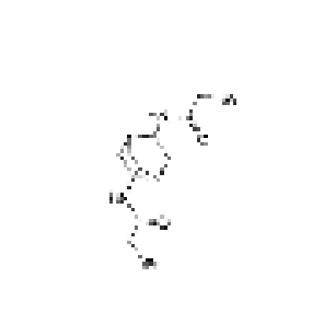 CC(C)CC(=O)NC1CC2CCC1CC2NC(=O)CC(C)C